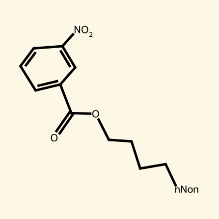 CCCCCCCCCCCCCOC(=O)c1cccc([N+](=O)[O-])c1